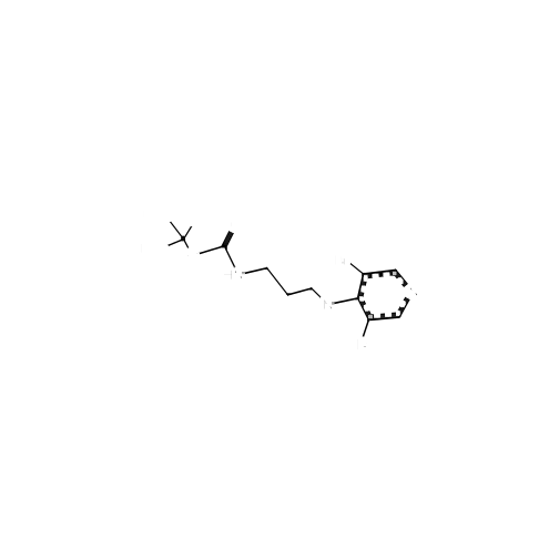 CC(C)(C)OC(=O)NCCCNc1c(Br)cncc1Br